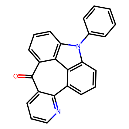 O=c1c2cccnc2c2cccc3c2c2c1cccc2n3-c1ccccc1